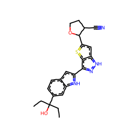 CCC(O)(CC)c1ccc2cc(-c3n[nH]c4cc(C5OCCC5C#N)sc34)[nH]c2c1